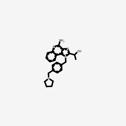 CC(O)c1nc2c(N)nc3ccccc3c2n1Cc1ccc(CN2CCCC2)cc1